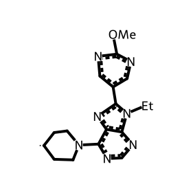 CCn1c(-c2cnc(OC)nc2)nc2c(N3CC[CH]CC3)ncnc21